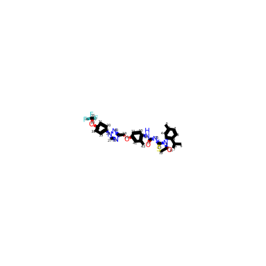 Cc1ccc(C(C)C)c(N2C(=O)CS/C2=N\C(=O)Nc2ccc(OCc3ncn(-c4ccc(OC(F)(F)F)cc4)n3)cc2C)c1